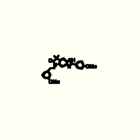 COc1ccc(-c2nc3cc4c(cc3[nH]2)C(C)(C)C(=O)N4CCc2cccc(OC)c2)cc1